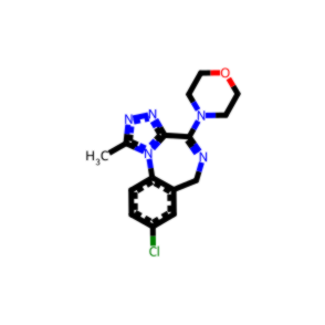 Cc1nnc2n1-c1ccc(Cl)cc1CN=C2N1CCOCC1